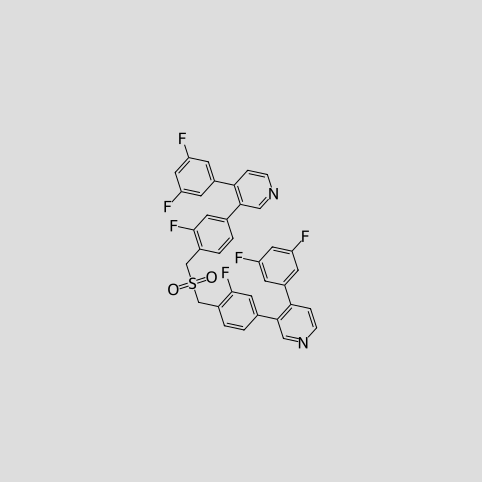 O=S(=O)(Cc1ccc(-c2cnccc2-c2cc(F)cc(F)c2)cc1F)Cc1ccc(-c2cnccc2-c2cc(F)cc(F)c2)cc1F